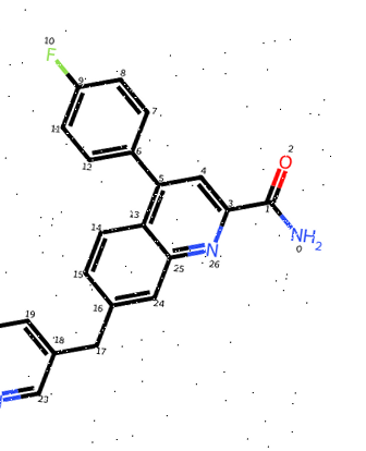 NC(=O)c1cc(-c2ccc(F)cc2)c2ccc(Cc3cccnc3)cc2n1